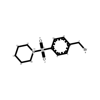 O=S(=O)(c1ccc(CBr)cc1)N1CCCCC1